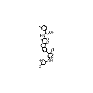 Cc1cccc([C@@H](CO)NC(=O)[C@@H](C)N2Cc3ccc(-c4nc(NC5CC(=O)N(C)C5)ncc4Cl)cc3C2=O)c1